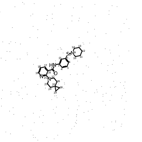 O=C(Nc1cccc(SN2CCCCC2)c1)c1cccnc1N1CCC2(CC1)CC2